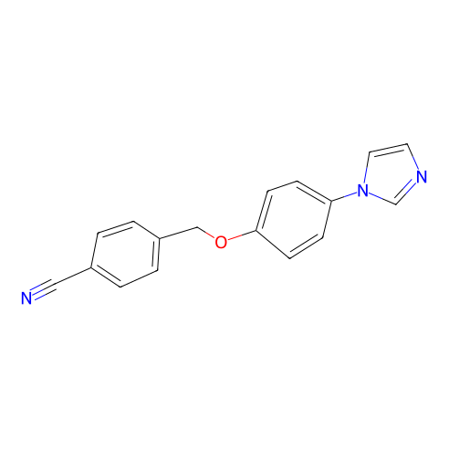 N#Cc1ccc(COc2ccc(-n3ccnc3)cc2)cc1